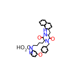 O=C(O)NCCCCC1C(=O)NC(Cc2ccc3ccccc3c2)C(=O)N1Cc1ccc(Oc2ccccc2)cc1